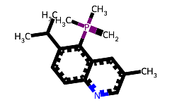 C=P(C)(C)c1c(C(C)C)ccc2ncc(C)cc12